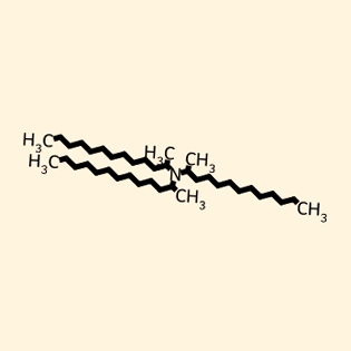 CCCCCCCCCCCC(C)N(C(C)CCCCCCCCCCC)C(C)CCCCCCCCCCC